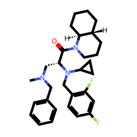 CN(Cc1ccccc1)C[C@H](C(=O)N1CCC[C@H]2CCCC[C@@H]21)N(Cc1ccc(F)cc1F)C1CC1